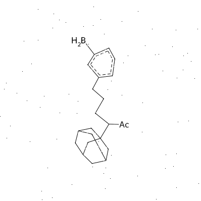 Bc1cccc(CCCC(C(C)=O)C23CC4CC(CC(C4)C2)C3)c1